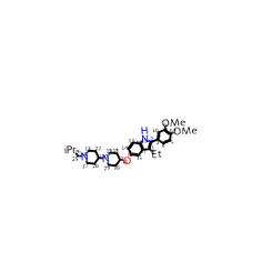 CCc1c(-c2ccc(OC)c(OC)c2)[nH]c2ccc(OC3CCN(C4CCN(CC(C)C)CC4)CC3)cc12